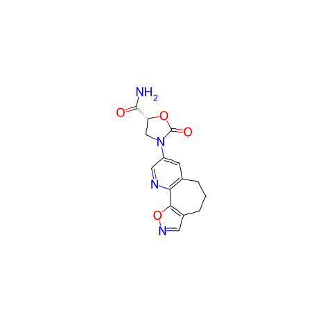 NC(=O)[C@H]1CN(c2cnc3c(c2)CCCc2cnoc2-3)C(=O)O1